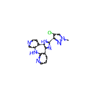 Cn1cc(Cl)c(-c2nc3c([nH]2)-c2ccncc2Nc2ncccc2-3)n1